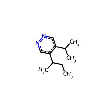 CCC(C)c1cnncc1C(C)C